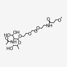 COCCC(=O)NCCOOCOCCOC(OC(C)CO)C(NC(C)=O)C(O)O